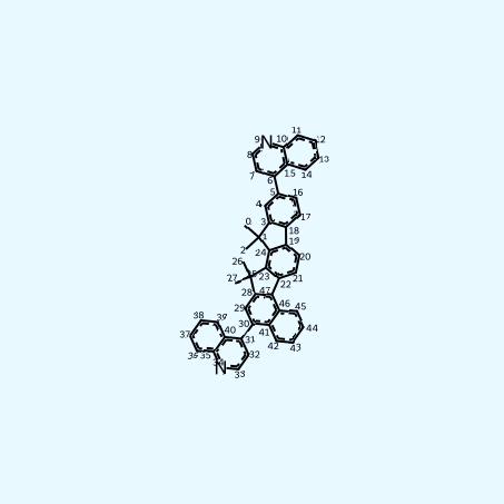 CC1(C)c2cc(-c3ccnc4ccccc34)ccc2-c2ccc3c(c21)C(C)(C)c1cc(-c2ccnc4ccccc24)c2ccccc2c1-3